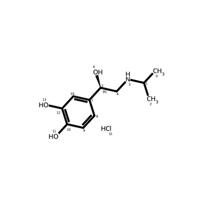 CC(C)NC[C@H](O)c1ccc(O)c(O)c1.Cl